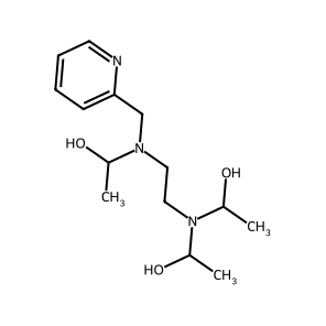 CC(O)N(CCN(C(C)O)C(C)O)Cc1ccccn1